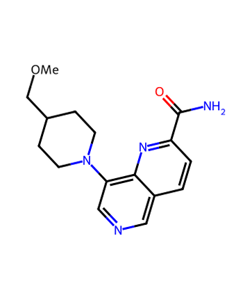 COCC1CCN(c2cncc3ccc(C(N)=O)nc23)CC1